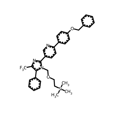 C[Si](C)(C)CCOCn1c(-c2ccc(-c3ccc(OCc4ccccc4)cc3)nc2)nc(C(F)(F)F)c1-c1ccccc1